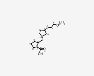 COCCOC1CCN(CC2CCCN2C(=O)O)C1